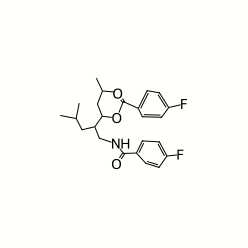 CC(C)CC(CNC(=O)c1ccc(F)cc1)C(CC(C)C)OC(=O)c1ccc(F)cc1